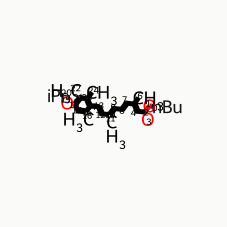 CCCCOC(=O)C=C(C)C=CC=C(C)C=Cc1c(C)cc(OC(C)C)c(C)c1C